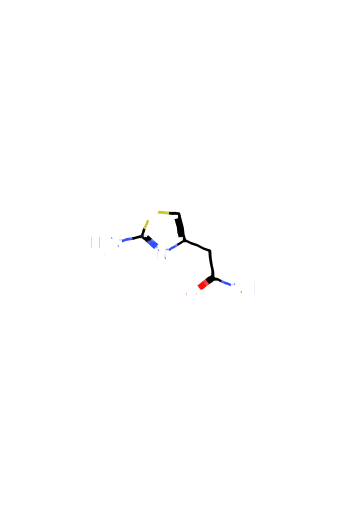 NC(=O)Cc1csc(N)n1